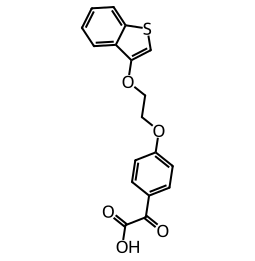 O=C(O)C(=O)c1ccc(OCCOc2csc3ccccc23)cc1